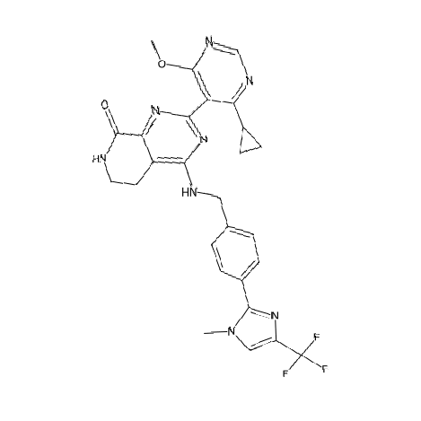 COc1ncnc(C2CC2)c1-c1nc(NCc2ccc(-c3nc(C(F)(F)F)cn3C)cc2)c2c(n1)C(=O)NCC2